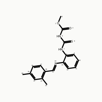 COC(=O)NC(=S)Nc1ccccc1N=Cc1ccc(C)cc1C